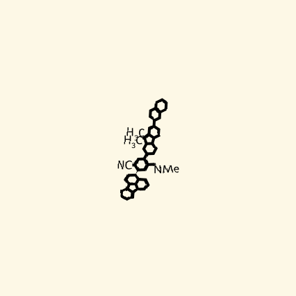 CNCC1CC([C@H]2CCC3C4CCCCC4C4CCCC2C43)C(C#N)CC1C1CCC2C3CCC(C4CCC5=C(CCCC5)C4)CC3C(C)(C)C2C1